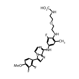 COc1ccc(-c2cnc3c(Nc4cc(C)c(NCCOCCNC(=O)O)c(F)c4)nccn23)c(F)c1F